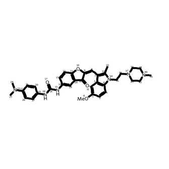 COc1ccc2c(c1)c(C=C1Oc3ccc(NC(=O)Nc4ccc(N(C)C)cc4)cc3C1=O)c(C)n2CCN1CCN(C)CC1